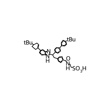 CC(C)(C)c1ccc(-c2ccc(C(Cc3ccc(C(=O)NCCS(=O)(=O)O)cc3)c3nc4cc(C5=CCC(C(C)(C)C)CC5)ccc4[nH]3)cc2)cc1